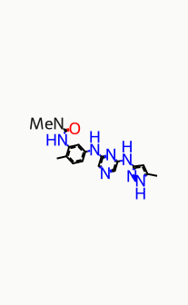 CNC(=O)Nc1cc(Nc2cncc(Nc3cc(C)[nH]n3)n2)ccc1C